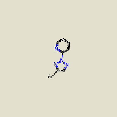 CC(=O)c1cnn(-c2ccccn2)n1